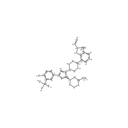 CN1CCC[C@@H](n2cc(-c3ccc(F)c(C(F)(F)F)c3)nc2C2CCN(c3ncnc4c3CC(C=O)N4)CC2)C1